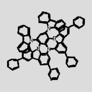 c1ccc(-c2ccc3c(c2)-c2cc(-c4ccccc4)cc4c2B3c2c(-n3c5ccccc5c5ccccc53)cc(-n3c5ccccc5c5ccccc53)c3c2N4c2cc(-c4ccccc4)cc4c2B3c2ccc(-c3ccccc3)cc2-4)cc1